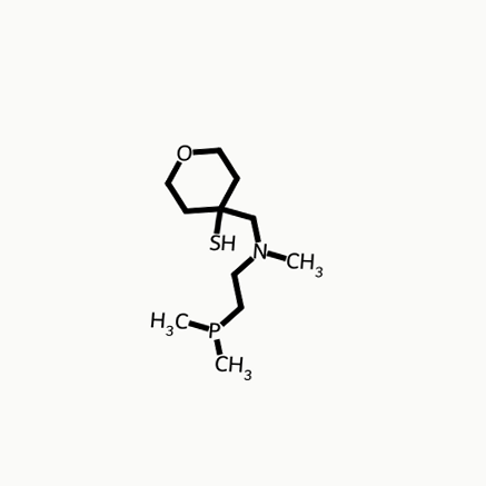 CN(CCP(C)C)CC1(S)CCOCC1